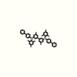 Cc1cc(-c2cc(C)cc(N(c3ccc(-c4ccccc4)cc3)c3c(C)cc(C)cc3C)c2)cc(N(c2ccc(-c3ccccc3)cc2)c2c(C)cc(C)cc2C)c1